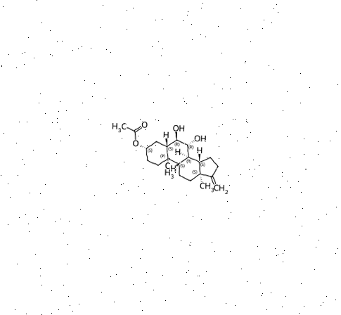 C=C1CC[C@H]2[C@@H]3[C@@H](O)[C@H](O)[C@H]4C[C@@H](OC(C)=O)CC[C@]4(C)[C@H]3CC[C@]12C